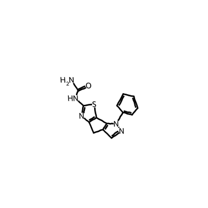 NC(=O)Nc1nc2c(s1)-c1c(cnn1-c1ccccc1)C2